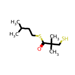 CC(C)CCSC(=O)C(C)(C)CS